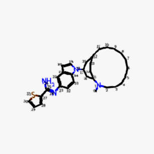 CN1CCCCCCCCCCC2CCC1CC(n1ccc3cc(N=C(N)c4cccs4)ccc31)C2